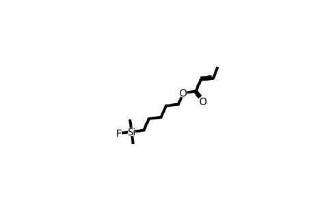 CC=CC(=O)OCCCCC[Si](C)(C)F